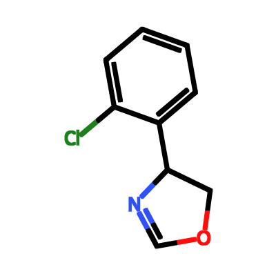 Clc1ccccc1C1COC=N1